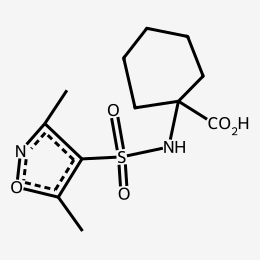 Cc1noc(C)c1S(=O)(=O)NC1(C(=O)O)CCCCC1